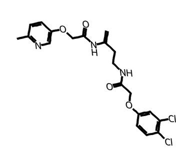 C=C(CCNC(=O)COc1ccc(Cl)c(Cl)c1)NC(=O)COc1ccc(C)nc1